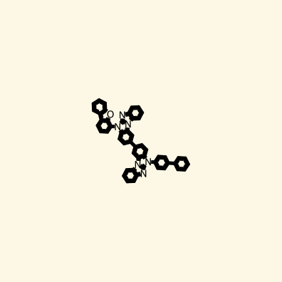 c1ccc(-c2ccc(-n3c4ccc(-c5ccc6c(c5)n5c7ccccc7nc5n6-c5cccc6c5oc5ccccc56)cc4n4c5ccccc5nc34)cc2)cc1